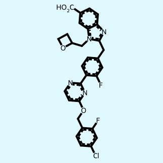 O=C(O)c1ccc2nc(Cc3ccc(-c4nccc(OCc5ccc(Cl)cc5F)n4)c(F)c3)n(CC3CCO3)c2c1